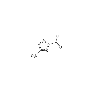 O=C(Cl)c1ncc([N+](=O)[O-])s1